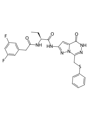 CC[C@H](NC(=O)Cc1cc(F)cc(F)c1)C(=O)Nc1cc2c(=O)[nH]nc(CSc3ccccc3)n2n1